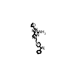 CN=C(c1ccccc1)C1CCN(CCn2ncc3c2nc(N)n2nc(-c4ccco4)nc32)CC1